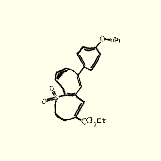 CCCOc1ccc(-c2ccc3c(c2)C=C(C(=O)OCC)CCS3(=O)=O)cc1